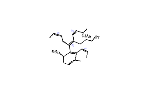 C/C=C\C/C(C1=C(/C=C\C)C(C)=CCC1CCCC)=C(\C=C/C(C)NC)CCCC(C)C